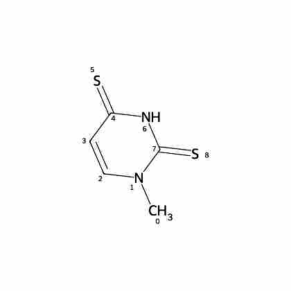 Cn1ccc(=S)[nH]c1=S